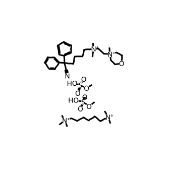 COS(=O)(=O)O.COS(=O)(=O)O.C[N+](C)(C)CCCCCC[N+](C)(C)C.C[N+](C)(CCCCC(C#N)(c1ccccc1)c1ccccc1)CC[N+]1(C)CCOCC1